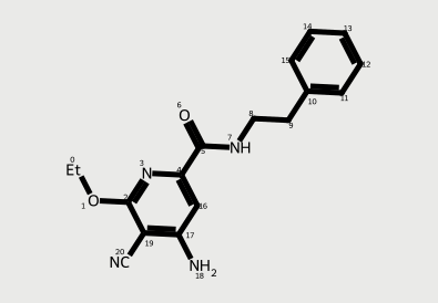 CCOc1nc(C(=O)NCCc2ccccc2)cc(N)c1C#N